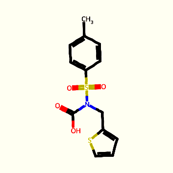 Cc1ccc(S(=O)(=O)N(Cc2cccs2)C(=O)O)cc1